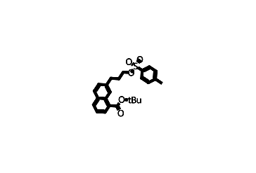 Cc1ccc(S(=O)(=O)OCCCc2ccc3cccc(C(=O)OC(C)(C)C)c3c2)cc1